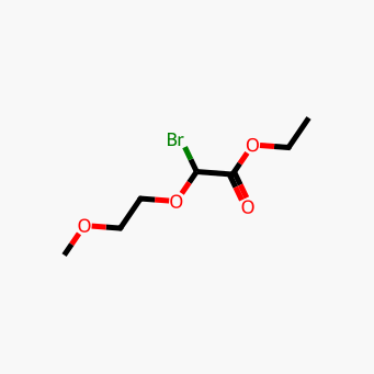 CCOC(=O)C(Br)OCCOC